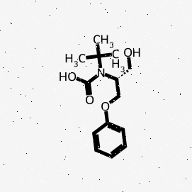 CC(C)(C)N(C(=O)O)[C@H](CO)COc1ccccc1